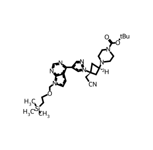 [2H][C@]1(N2CCN(C(=O)OC(C)(C)C)CC2)C[C@](CC#N)(n2cc(-c3ncnc4c3ccn4COCC[Si](C)(C)C)cn2)C1